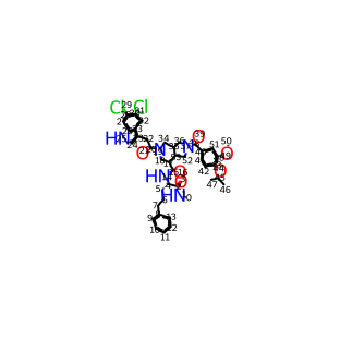 CNC(=O)[C@H](CCCc1ccccc1)NC(=O)C1CN(C(=O)Cc2c[nH]c3cc(Cl)c(Cl)cc23)CC2CN(C(=O)c3ccc(OC(C)C)c(OC)c3)CC21